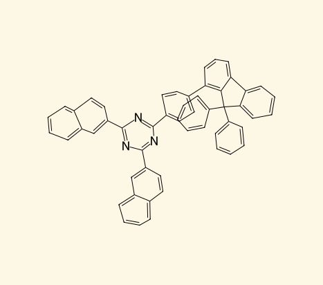 c1ccc(C2(c3ccccc3)c3ccccc3-c3cccc(-c4ccc(-c5nc(-c6ccc7ccccc7c6)nc(-c6ccc7ccccc7c6)n5)cc4)c32)cc1